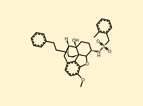 COc1ccc2c3c1OC1[C@H](NS(=O)(=O)Cc4ccccc4C)CC[C@@]4(O)[C@@H](C2)N(CCc2ccccc2)CC[C@]314